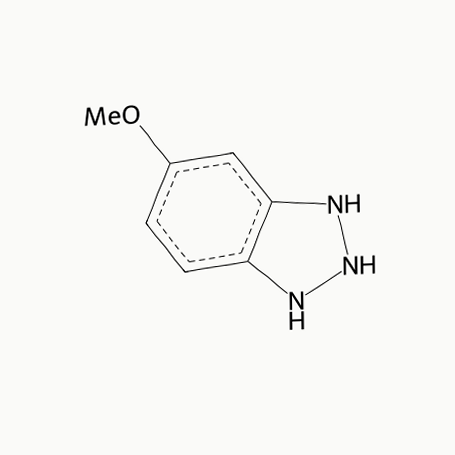 COc1ccc2c(c1)NNN2